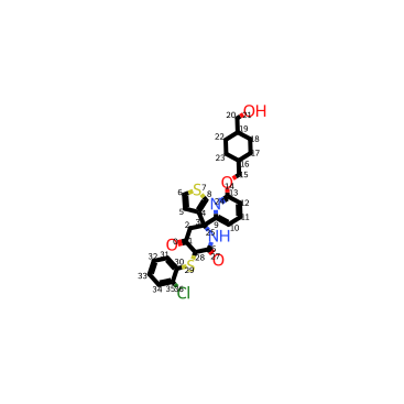 O=C1CC(c2ccsc2)(c2cccc(OCC3CCC(CO)CC3)n2)NC(=O)C1Sc1ccccc1Cl